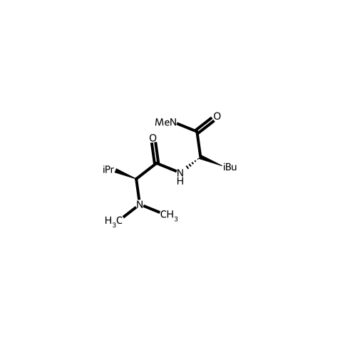 CC[C@H](C)[C@H](NC(=O)[C@H](C(C)C)N(C)C)C(=O)NC